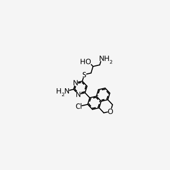 NCC(O)CSc1cc(-c2c(Cl)cc3c4c(cccc24)COC3)nc(N)n1